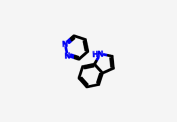 c1ccc2[nH]ccc2c1.c1ccnnc1